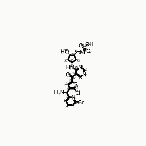 N[C@H](c1cccc(Br)n1)c1cc(C(=O)c2cncnc2N[C@H]2C[C@H](O)[C@@H]([CH]NS(=O)(=O)O)C2)sc1Cl